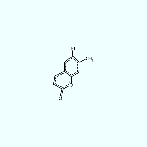 CCc1cc2ccc(=O)oc2cc1C